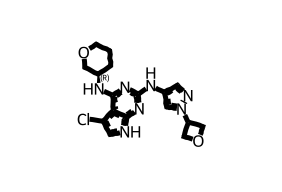 Clc1c[nH]c2nc(Nc3cnn(C4COC4)c3)nc(N[C@@H]3CCCOC3)c12